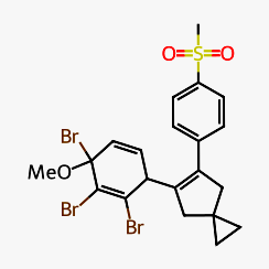 COC1(Br)C=CC(C2=C(c3ccc(S(C)(=O)=O)cc3)CC3(CC3)C2)C(Br)=C1Br